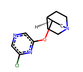 Clc1cncc(O[C@@H]2CN3CCC2CC3)n1